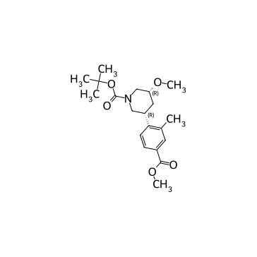 COC(=O)c1ccc([C@H]2C[C@@H](OC)CN(C(=O)OC(C)(C)C)C2)c(C)c1